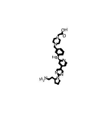 NCCC1CCCN1c1ncc(-c2ccnc(Nc3cccc(CN4CCN(CC(=O)O)CC4)c3)c2)cn1